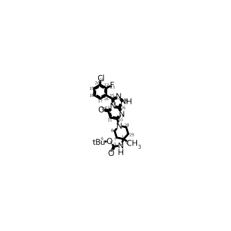 CC1(NC(=O)OC(C)(C)C)CCN(c2cc(=O)n3c(-c4cccc(Cl)c4F)n[nH]c3n2)CC1